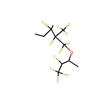 CCC(C)(F)C(F)(C(F)(F)F)C(F)(F)OC(C)C(F)C(F)(F)F